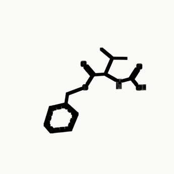 CC(C)C(NC(=O)O)C(=O)OCc1ccccc1